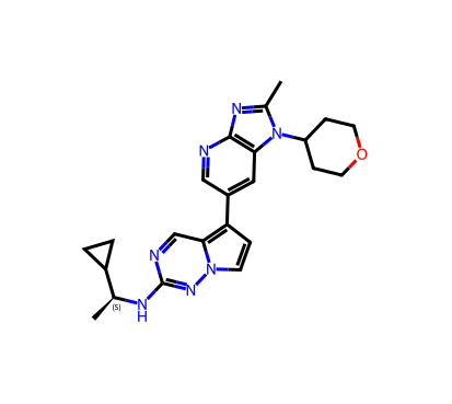 Cc1nc2ncc(-c3ccn4nc(N[C@@H](C)C5CC5)ncc34)cc2n1C1CCOCC1